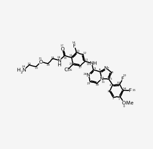 COc1ccc(-c2cnc3c(Nc4cc(F)c(C(=O)NCCOCCN)c(Cl)c4)nccn23)c(F)c1F